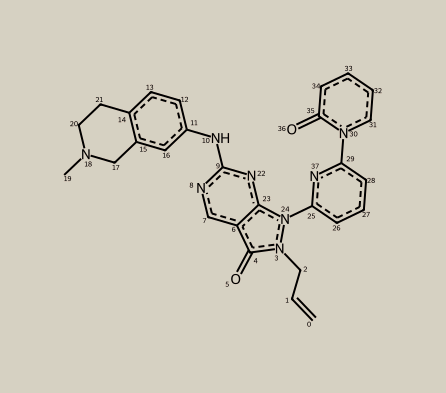 C=CCn1c(=O)c2cnc(Nc3ccc4c(c3)CN(C)CC4)nc2n1-c1cccc(-n2ccccc2=O)n1